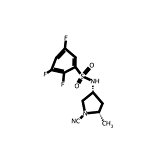 C[C@H]1C[C@@H](NS(=O)(=O)c2cc(F)cc(F)c2F)CN1C#N